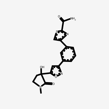 CN1CCC(O)(c2cc(-c3cccc(-c4csc(C(N)=O)n4)c3)no2)C1=O